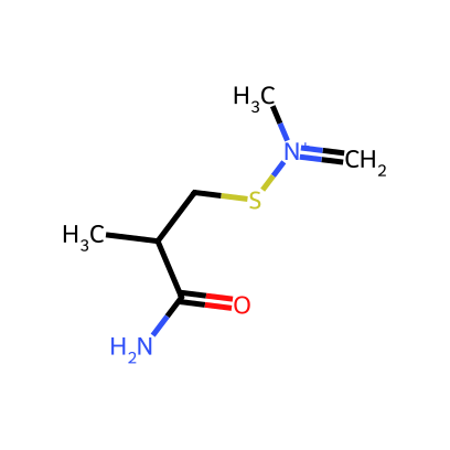 C=[N+](C)SCC(C)C(N)=O